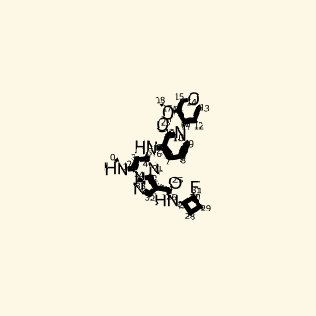 CNc1cc(Nc2cccn([C@@H]3CCOC[C@@H]3OC)c2=O)nc2c(C(=O)N[C@H]3CC[C@H]3F)cnn12